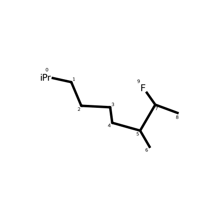 CC(C)CCCCC(C)C(C)F